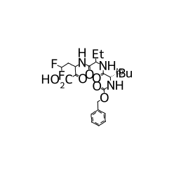 CCC(NC(=O)C(NC(=O)OCc1ccccc1)[C@@H](C)CC)C(=O)NC(CC(F)F)C(=O)C(=O)O